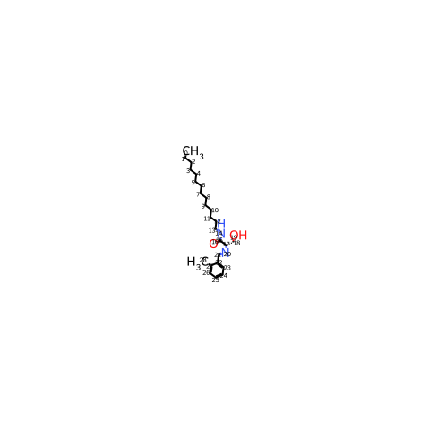 CCCCCCCCCCCCCCNC(=O)[C@H](CO)/N=C/c1ccccc1C